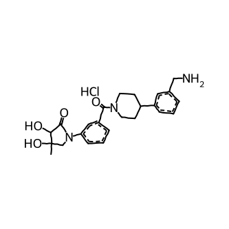 CC1(O)CN(c2cccc(C(=O)N3CCC(c4cccc(CN)c4)CC3)c2)C(=O)C1O.Cl